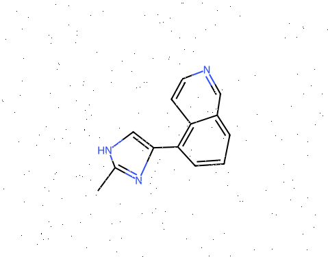 Cc1nc(-c2cccc3cnccc23)c[nH]1